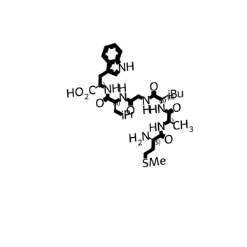 CC[C@H](C)[C@H](NC(=O)[C@H](C)NC(=O)[C@@H](N)CCSC)C(=O)NCC(=O)N[C@@H](CC(C)C)C(=O)N[C@@H](Cc1c[nH]c2ccccc12)C(=O)O